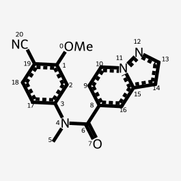 COc1cc(N(C)C(=O)c2ccn3nccc3c2)ccc1C#N